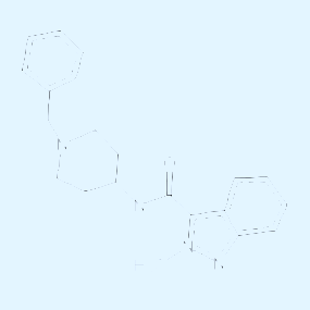 Cn1nc2ccccc2c1C(=O)NC1CCN(Cc2ccccc2)CC1